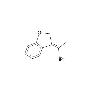 C/C(=C1\COc2ccccc21)C(C)C